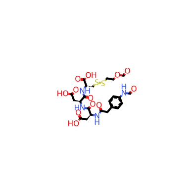 O=CNc1ccc(CC(=O)N[C@@H](CC(=O)O)C(=O)N[C@@H](CC(=O)O)C(=O)N[C@@H](CSSCCOC=O)C(=O)O)cc1